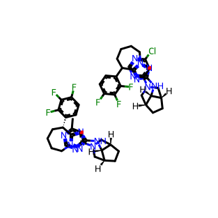 Cc1cc(N2C[C@H]3CC[C@@H](C2)[C@H]3Nc2nc3n(n2)CCCC[C@@H]3c2ccc(F)c(F)c2F)ncn1.Fc1ccc(C2CCCCn3nc(N[C@H]4[C@@H]5CC[C@H]4CN(c4cc(Cl)ncn4)C5)nc32)c(F)c1F